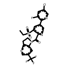 CCS(=O)(=O)c1cc(-c2ncc(Cl)cc2F)cnc1C(=O)N1CCc2ncc(C(F)(F)F)cc21